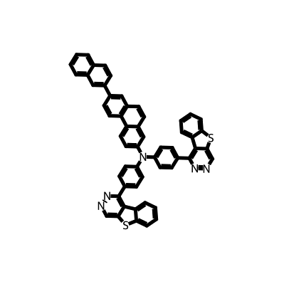 c1ccc2cc(-c3ccc4c(ccc5cc(N(c6ccc(-c7nncc8sc9ccccc9c78)cc6)c6ccc(-c7nncc8sc9ccccc9c78)cc6)ccc54)c3)ccc2c1